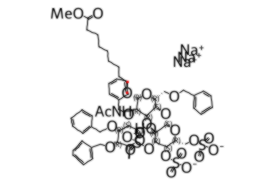 COC(=O)CCCCCCCCO[C@@H]1O[C@H](COCc2ccccc2)[C@@H](O[C@@H]2O[C@H](COS(=O)(=O)[O-])[C@H](OS(=O)(=O)[O-])[C@H](OS(=O)(=O)[O-])[C@H]2O)[C@H](O[C@@H]2O[C@@H](C)[C@@H](OCc3ccccc3)[C@@H](OCc3ccccc3)[C@@H]2OCc2ccccc2)[C@H]1NC(C)=O.[Na+].[Na+].[Na+]